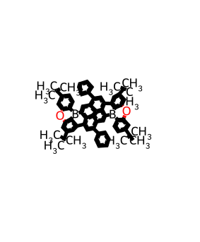 CC(C)(C)c1ccc2c(c1)Oc1cc(C(C)(C)C)cc3c1B2c1cc2c(-c4ccccc4)cc4c5c(cc6c(-c7ccccc7)cc-3c1c6c25)B1c2ccc(C(C)(C)C)cc2Oc2cc(C(C)(C)C)cc-4c21